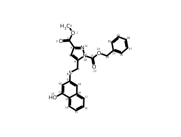 COC(=O)c1cc(CSc2cc(O)c3ccccc3c2)n(C(=O)OCc2ccccc2)n1